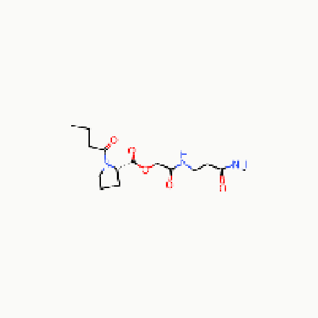 CCCC(=O)N1CCC[C@H]1C(=O)OCC(=O)NCCC(=O)NC